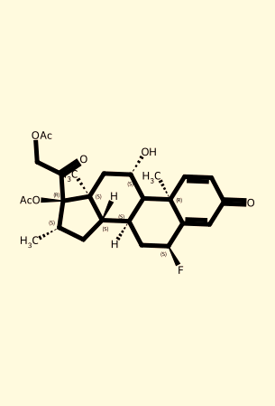 CC(=O)OCC(=O)[C@@]1(OC(C)=O)[C@@H](C)C[C@H]2[C@@H]3C[C@H](F)C4=CC(=O)C=C[C@]4(C)C3[C@@H](O)C[C@@]21C